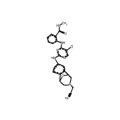 C#CCN1CC2OC(C1)c1cc(Nc3ncc(Cl)c(Nc4ccccc4C(=O)NC)n3)ccc12